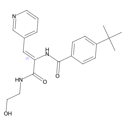 CC(C)(C)c1ccc(C(=O)N/C(=C\c2cccnc2)C(=O)NCCO)cc1